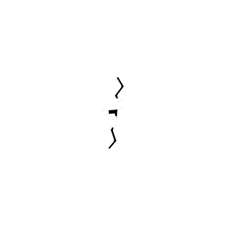 CCCSC(=S)SCCC